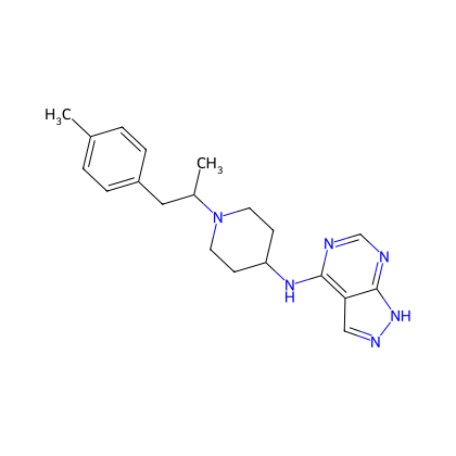 Cc1ccc(CC(C)N2CCC(Nc3ncnc4[nH]ncc34)CC2)cc1